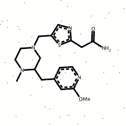 COc1cc(CC2CN(Cc3cnc(CC(N)=O)s3)CCN2C)ccn1